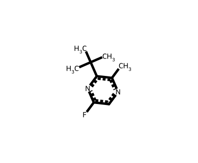 Cc1ncc(F)nc1C(C)(C)C